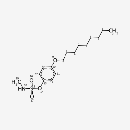 CCCCCCCCCOc1ccc(OS(=O)(=O)NC)cc1